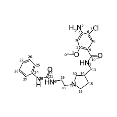 COc1cc(N)c(Cl)cc1C(=O)NCC1CCN(CCNC(=O)Nc2ccccc2)C1